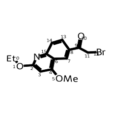 CCOc1cc(OC)c2cc(C(=O)CBr)ccc2n1